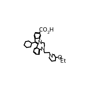 CCOC1CCCN(CCN2CCn3c(c(C4CCCCC4)c4ccc(C(=O)O)cc43)-c3ccccc32)C1